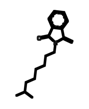 C=C1c2ccccc2C(=O)N1CCCCCCC(C)C